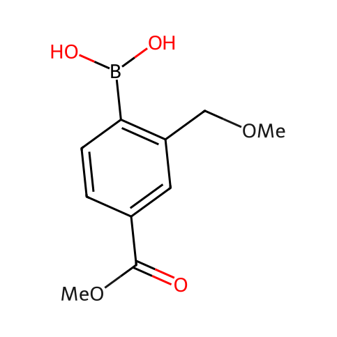 COCc1cc(C(=O)OC)ccc1B(O)O